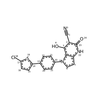 N#Cc1c(O)c2c(ccn2-c2ccc(-c3ccc(Cl)s3)cc2)[nH]c1=O